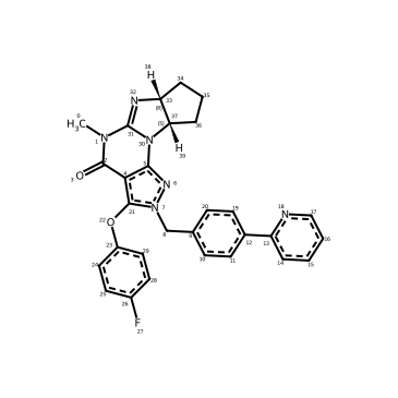 CN1C(=O)c2c(nn(Cc3ccc(-c4ccccn4)cc3)c2Oc2ccc(F)cc2)N2C1=N[C@@H]1CCC[C@@H]12